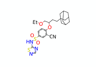 CCOCC(CCC12CC3CC(CC(C3)C1)C2)Oc1ccc(S(=O)(=O)Nc2ncns2)cc1C#N